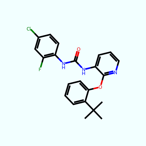 CC(C)(C)c1ccccc1Oc1ncccc1NC(=O)Nc1ccc(Cl)cc1F